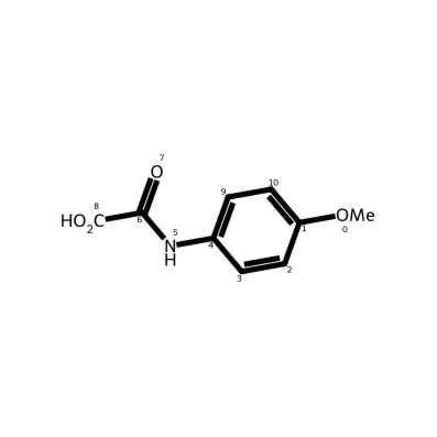 COc1ccc(NC(=O)C(=O)O)cc1